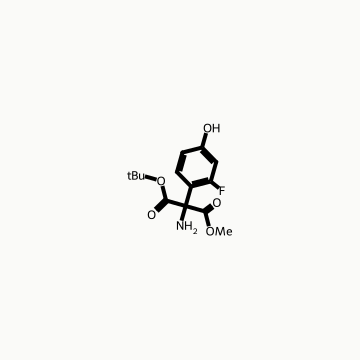 COC(=O)C(N)(C(=O)OC(C)(C)C)c1ccc(O)cc1F